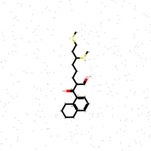 CSCCC(CCCC([C]=O)C(=O)c1cccc2c1CCCC2)SC